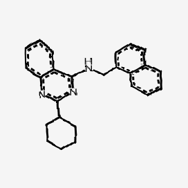 c1ccc2c(CNc3nc(C4CCCCC4)nc4ccccc34)cccc2c1